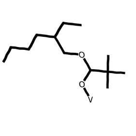 CCCCC(CC)COC([O][V])C(C)(C)C